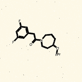 CCCOC1CCCN(C(=O)Cc2cc(F)cc(F)c2)CC1